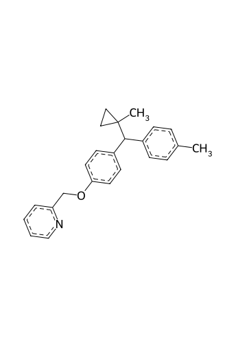 Cc1ccc(C(c2ccc(OCc3ccccn3)cc2)C2(C)CC2)cc1